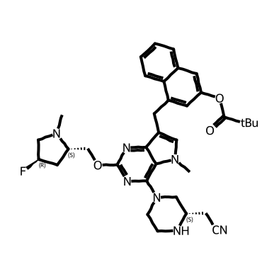 CN1C[C@H](F)C[C@H]1COc1nc(N2CCN[C@@H](CC#N)C2)c2c(n1)c(Cc1cc(OC(=O)C(C)(C)C)cc3ccccc13)cn2C